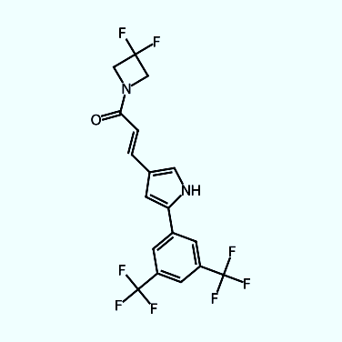 O=C(C=Cc1c[nH]c(-c2cc(C(F)(F)F)cc(C(F)(F)F)c2)c1)N1CC(F)(F)C1